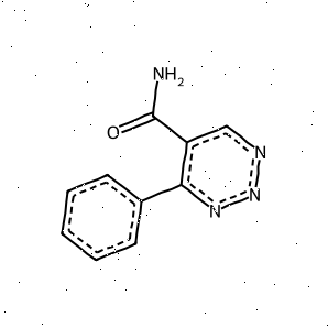 NC(=O)c1cnnnc1-c1ccccc1